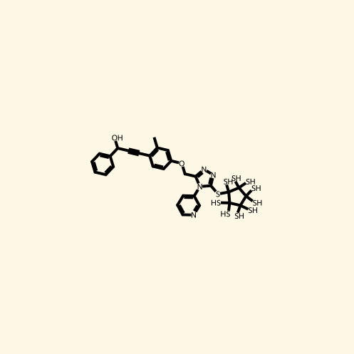 Cc1cc(OCc2nnc(SC3(S)C(S)(S)C(S)(S)C(S)(S)C3(S)S)n2-c2cccnc2)ccc1C#CC(O)c1ccccc1